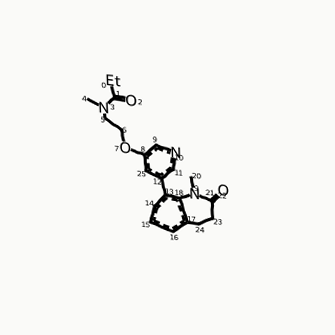 CCC(=O)N(C)CCOc1cncc(-c2cccc3c2N(C)C(=O)CC3)c1